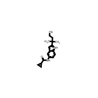 CC(C)(CCC#N)c1cc2cc(NC(=O)C3CC3)ccc2[nH]1